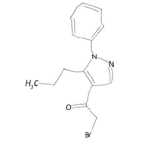 CCCc1c(C(=O)CBr)cnn1-c1ccccc1